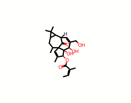 C/C=C(/C)C(=O)O[C@H]1C(C)=CC23C(=O)[C@@H](C=C(CO)[C@@H](O)[C@]12O)C1C(CC3C)C1(C)C